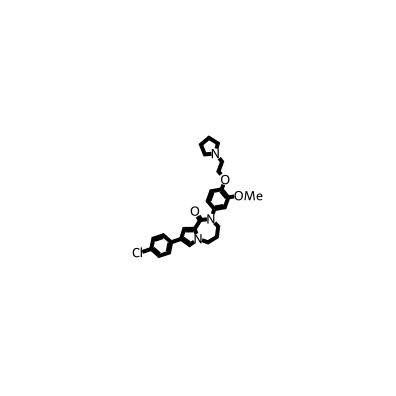 COc1cc(N2CCCn3cc(-c4ccc(Cl)cc4)cc3C2=O)ccc1OCCN1CCCC1